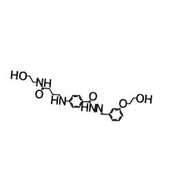 O=C(CCCNc1ccc(C(=O)NN=Cc2cccc(OCCO)c2)cc1)NCCO